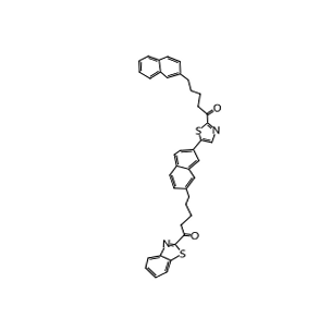 O=C(CCCCc1ccc2ccccc2c1)c1ncc(-c2ccc3ccc(CCCCC(=O)c4nc5ccccc5s4)cc3c2)s1